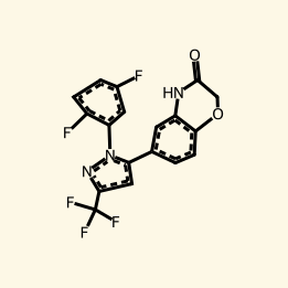 O=C1COc2ccc(-c3cc(C(F)(F)F)nn3-c3cc(F)ccc3F)cc2N1